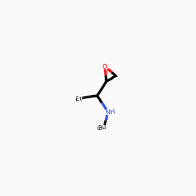 CCC(C)NC(CC)C1CO1